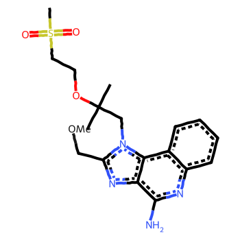 COCc1nc2c(N)nc3ccccc3c2n1CC(C)(C)OCCS(C)(=O)=O